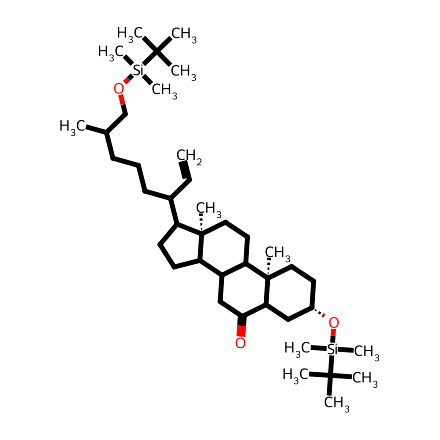 C=CC(CCCC(C)CO[Si](C)(C)C(C)(C)C)C1CCC2C3CC(=O)C4C[C@@H](O[Si](C)(C)C(C)(C)C)CC[C@]4(C)C3CC[C@]12C